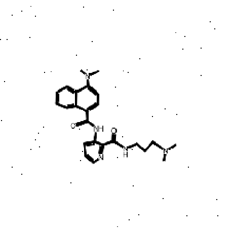 CN(C)CCCNC(=O)c1ncccc1NC(=O)c1ccc(N(C)C)c2ccccc12